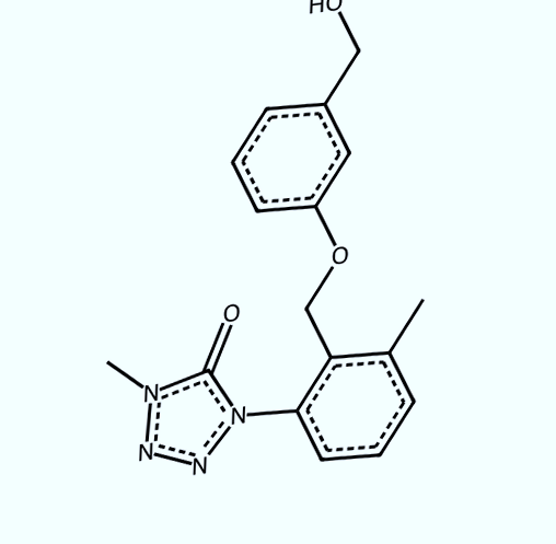 Cc1cccc(-n2nnn(C)c2=O)c1COc1cccc(CO)c1